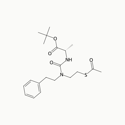 CC(=O)SCCN(CCc1ccccc1)C(=O)N[C@@H](C)C(=O)OC(C)(C)C